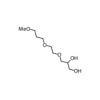 COCCCOCCOCC(O)CO